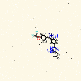 CC(C)Cc1nc(-c2ccc3[nH]nc(-c4ccc(OC(F)F)cc4)c3c2)n[nH]1